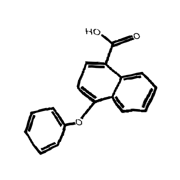 O=C(O)c1ccc(Oc2ccccc2)c2ccccc12